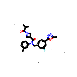 Cc1cccc(N(CC2=CC=C(c3nnc(C)o3)C=C(F)C2)C(=O)C2CN(C(=O)C(C)C)C2)c1